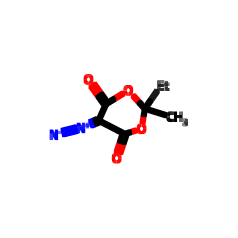 CCC1(C)OC(=O)C(=[N+]=[N-])C(=O)O1